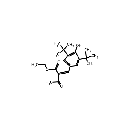 CCOC(=O)C(=Cc1cc(C(C)(C)C)c(O)c(C(C)(C)C)c1)C(C)=O